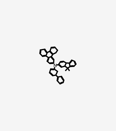 CC1(C)c2ccccc2C2C=CC(N(C3=CC=CC(c4ccccc4)C3)c3ccc4c(c3)c3c(c5ccccc54)C=CCC3)=CC21